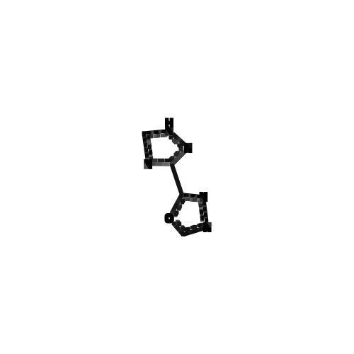 c1nc(-c2nnco2)n[nH]1